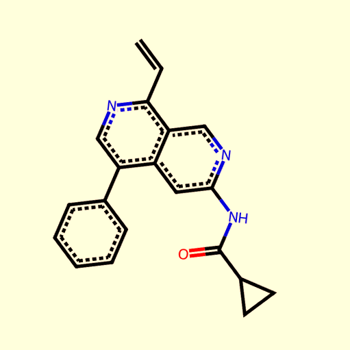 C=Cc1ncc(-c2ccccc2)c2cc(NC(=O)C3CC3)ncc12